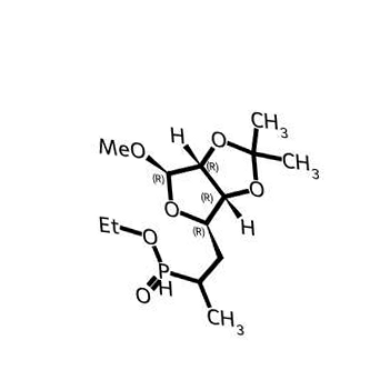 CCO[PH](=O)C(C)C[C@H]1O[C@@H](OC)[C@@H]2OC(C)(C)O[C@@H]21